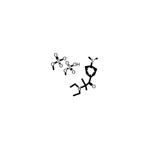 CCN(CC)C(C)(C)C(=O)c1ccc([S+](C)C)cc1.COS(=O)(=O)O.COS(=O)(=O)[O-]